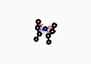 N#Cc1cc(C#N)c(-n2c3ccc(-c4ccccc4)cc3c3ccc4c5ccccc5oc4c32)c(F)c1-n1c2ccc(-c3ccccc3)cc2c2ccc3c4ccccc4oc3c21